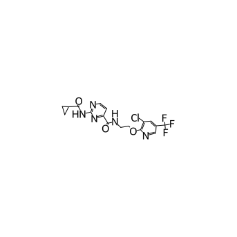 O=C(NCCOc1ncc(C(F)(F)F)cc1Cl)c1ccnc(NC(=O)C2CC2)n1